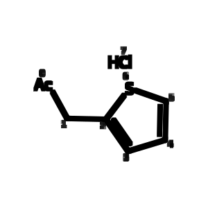 CC(=O)Cc1cccs1.Cl